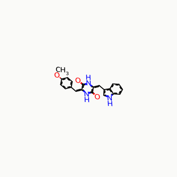 COc1ccc(C=c2[nH]c(=O)c(=Cc3c[nH]c4ccccc34)[nH]c2=O)cc1